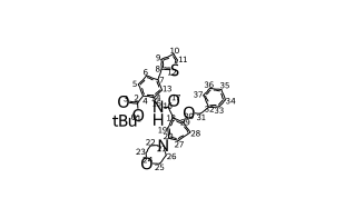 CC(C)(C)OC(=O)c1ccc(-c2cccs2)cc1NC(=O)c1cc(N2CCOCC2)ccc1OCc1ccccc1